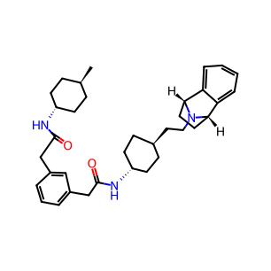 C[C@H]1CC[C@H](NC(=O)Cc2cccc(CC(=O)N[C@H]3CC[C@H](CCN4[C@@H]5CC[C@H]4c4ccccc45)CC3)c2)CC1